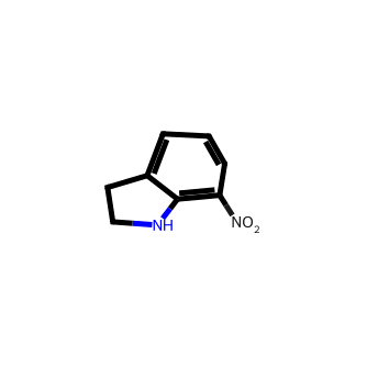 O=[N+]([O-])c1cccc2c1NCC2